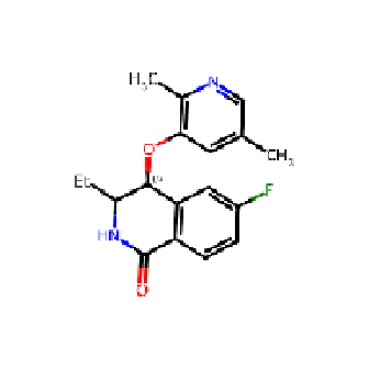 CCC1NC(=O)c2ccc(F)cc2[C@@H]1Oc1cc(C)cnc1C